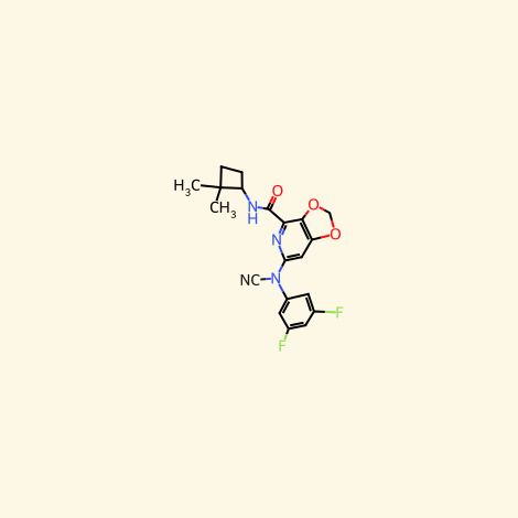 CC1(C)CCC1NC(=O)c1nc(N(C#N)c2cc(F)cc(F)c2)cc2c1OCO2